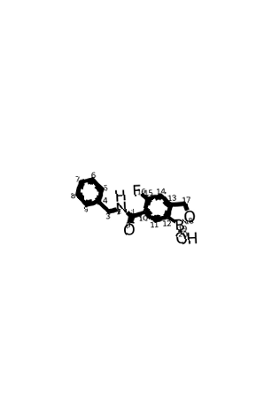 O=C(NCc1ccccc1)c1cc2c(cc1F)COB2O